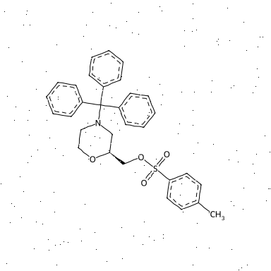 Cc1ccc(S(=O)(=O)OC[C@@H]2CN(C(c3ccccc3)(c3ccccc3)c3ccccc3)CCO2)cc1